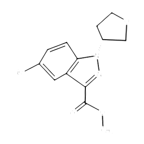 COC(=O)c1nn([C@@H]2CCOC2)c2ccc(Br)cc12